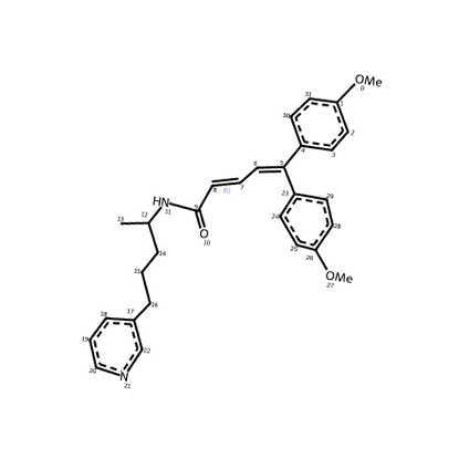 COc1ccc(C(=C/C=C/C(=O)NC(C)CCCc2cccnc2)c2ccc(OC)cc2)cc1